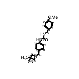 COc1ccc(CNC(=O)Nc2ccc(CN3CC(C)(C#N)C3)cc2)cc1